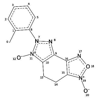 Cc1ccccc1-n1nc2c([n+]1[O-])CCc1c-2no[n+]1[O-]